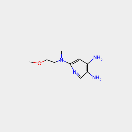 COCCN(C)c1cc(N)c(N)cn1